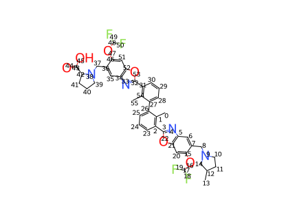 Cc1c(-c2nc3cc(CN4CCC(C)C4)c(OC(F)F)cc3o2)cccc1-c1cccc(-c2nc3cc(CN4CCC[C@H]4C(=O)O)c(OC(F)F)cc3o2)c1C